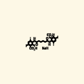 O=C(CCCCC(=O)Nc1c(I)cc(I)c(C(=O)O)c1I)Nc1c(I)cc(I)c(C(=O)O)c1I.[NaH]